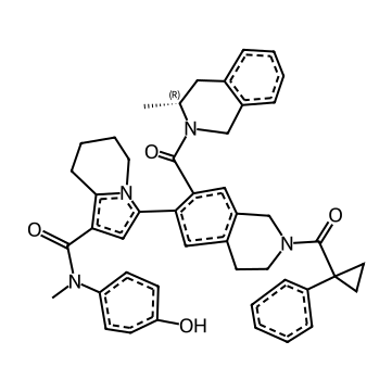 C[C@@H]1Cc2ccccc2CN1C(=O)c1cc2c(cc1-c1cc(C(=O)N(C)c3ccc(O)cc3)c3n1CCCC3)CCN(C(=O)C1(c3ccccc3)CC1)C2